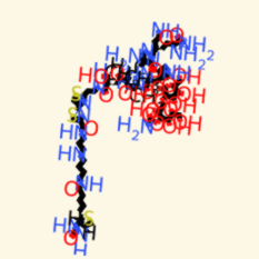 Cc1c(N)nc([C@@H](CC[C@H](N)C(N)=O)CC(N)=O)nc1C(=O)N[C@H](C(=O)N[C@H](C)[C@@H](O)[C@H](C)C(=O)C[C@H](C(=O)NCCc1nc(-c2nc(C(=O)NCCCNCCCCNC(=O)CCCC[C@@H]3SC[C@@H]4NC(=O)N[C@@H]43)cs2)cs1)[C@@H](C)O)[C@@H](OC1OC(CO)C(O)C(O)C1OC1OC(CO)C(O)C(OC(N)=O)C1O)c1cc[nH]c1